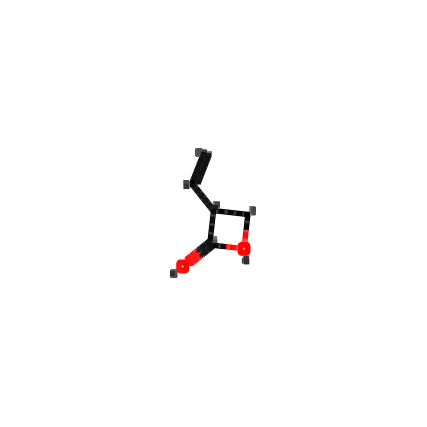 C=CC1COC1=O